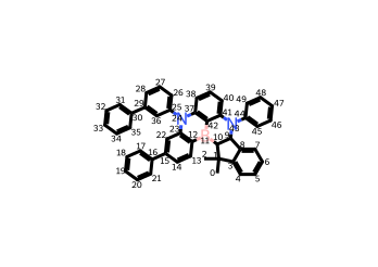 CC1(C)c2ccccc2C2C1B1c3ccc(-c4ccccc4)cc3N(c3cccc(-c4ccccc4)c3)c3cccc(c31)N2c1ccccc1